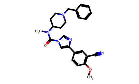 COc1ccc(-c2cn(C(=O)N(C)C3CCN(Cc4ccccc4)CC3)cn2)cc1C#N